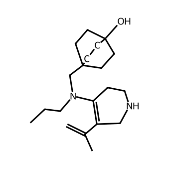 C=C(C)C1=C(N(CCC)CC23CCC(O)(CC2)CC3)CCNC1